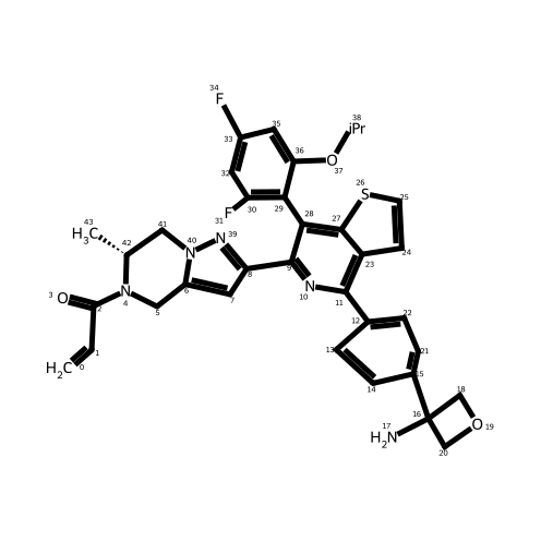 C=CC(=O)N1Cc2cc(-c3nc(-c4ccc(C5(N)COC5)cc4)c4ccsc4c3-c3c(F)cc(F)cc3OC(C)C)nn2C[C@H]1C